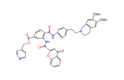 COc1cc2c(cc1OC)CN(CCc1ccc(NC(=O)c3ccc(C(=O)OCc4ccncc4)cc3NC(=O)c3cc(=O)c4ccccc4o3)cc1)CC2